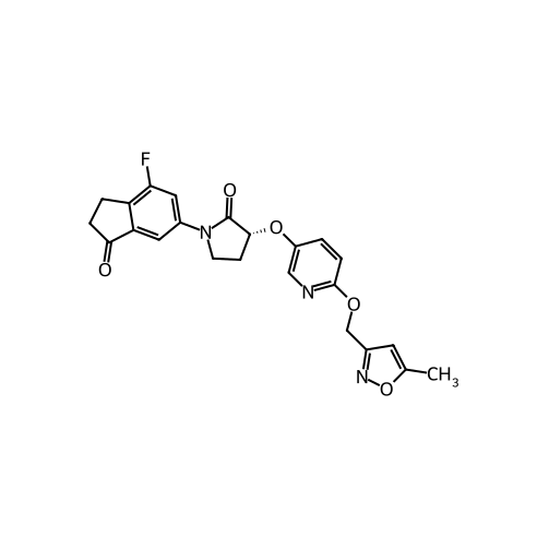 Cc1cc(COc2ccc(O[C@@H]3CCN(c4cc(F)c5c(c4)C(=O)CC5)C3=O)cn2)no1